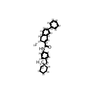 C[N+]1(Cc2ccc(NC(=O)C3=Cc4cc(-c5ccccc5)ccc4CC3)cc2)CCCCC1.[I-]